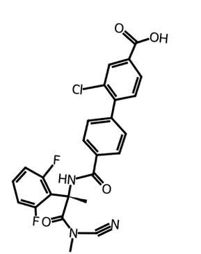 CN(C#N)C(=O)[C@@](C)(NC(=O)c1ccc(-c2ccc(C(=O)O)cc2Cl)cc1)c1c(F)cccc1F